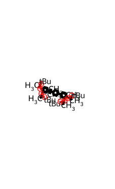 CC(Oc1ccc(C(C)(C)C2CCC(C3=CC(OC(C)OC(C)(C)C)C(C)(OC(C)OC(C)(C)C)C=C3)CC2)cc1OC(C)OC(C)(C)C)OC(C)(C)C